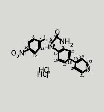 Cl.Cl.NC(=O)[C@@H](Cc1ccc([N+](=O)[O-])cc1)Nc1ccc(-c2ccncc2)cc1